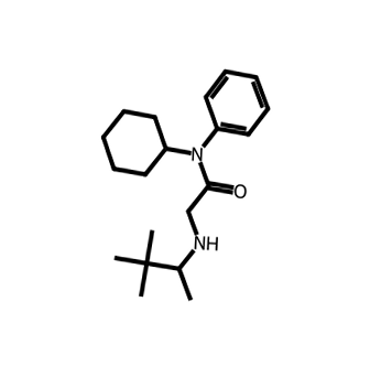 CC(NCC(=O)N(c1ccccc1)C1CCCCC1)C(C)(C)C